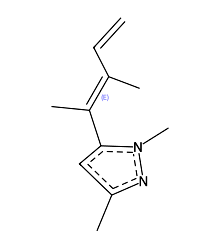 C=C/C(C)=C(\C)c1cc(C)nn1C